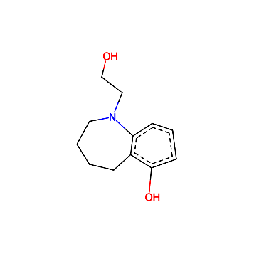 OCCN1CCCCc2c(O)cccc21